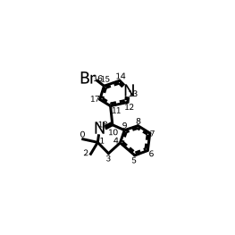 CC1(C)Cc2ccccc2C(c2cncc(Br)c2)=N1